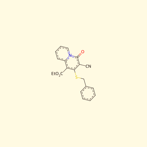 CCOC(=O)c1c(SCc2ccccc2)c(C#N)c(=O)n2ccccc12